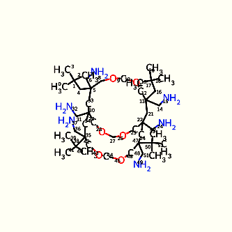 CC(C)(C)CC1(CN)COCOCC(CN)(CC(C)(C)C)CC2(CN)COCOCC(CN)(C1)CC(CN)(C(C)(C)C)COCOCC(CN)(C(C)(C)C)C2